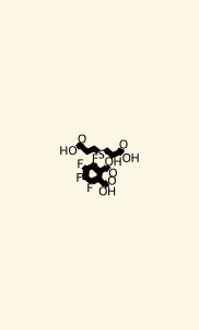 O=C(O)CCSCCC(=O)O.O=C(O)c1c(F)c(F)c(F)c(F)c1C(=O)O